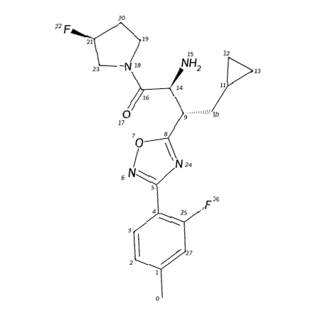 Cc1ccc(-c2noc([C@@H](CC3CC3)[C@H](N)C(=O)N3CC[C@H](F)C3)n2)c(F)c1